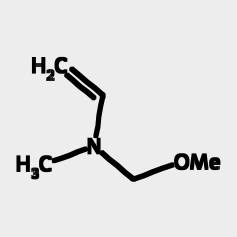 C=CN(C)COC